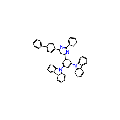 C1=CCCC(C2=NC(c3ccc(-c4ccccc4)cc3)CC(C3C=C(N4c5ccccc5C5C=CC=CC54)C=C(n4c5c(c6ccccc64)C=CCC5)C3)=N2)=C1